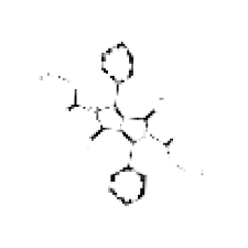 CCCCOC(=O)N1C(=O)C2=C(c3ccccc3)N(C(=O)OCCCC)C(=O)C2=C1c1ccccc1